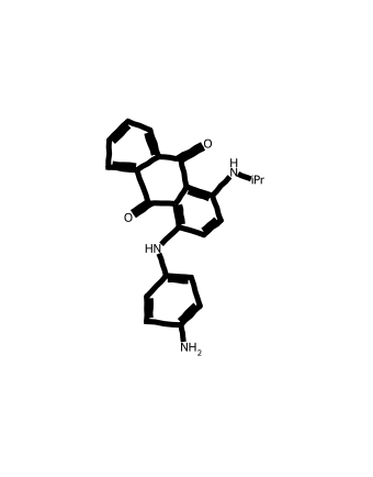 CC(C)Nc1ccc(Nc2ccc(N)cc2)c2c1C(=O)c1ccccc1C2=O